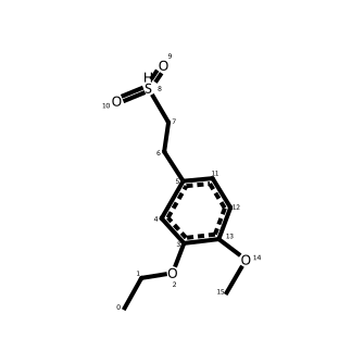 CCOc1cc(CC[SH](=O)=O)ccc1OC